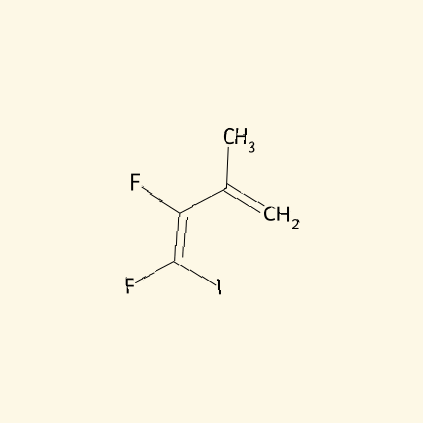 C=C(C)/C(F)=C(/F)I